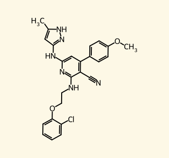 COc1ccc(-c2cc(Nc3cc(C)[nH]n3)nc(NCCOc3ccccc3Cl)c2C#N)cc1